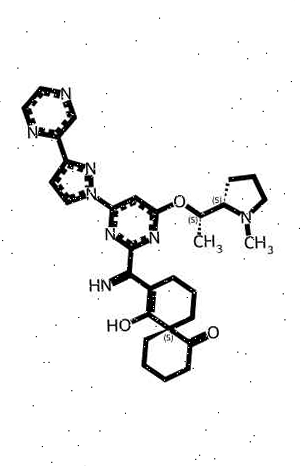 C[C@H](Oc1cc(-n2ccc(-c3cnccn3)n2)nc(C(=N)C2=C(O)[C@]3(CCCCC3=O)CCC2)n1)[C@@H]1CCCN1C